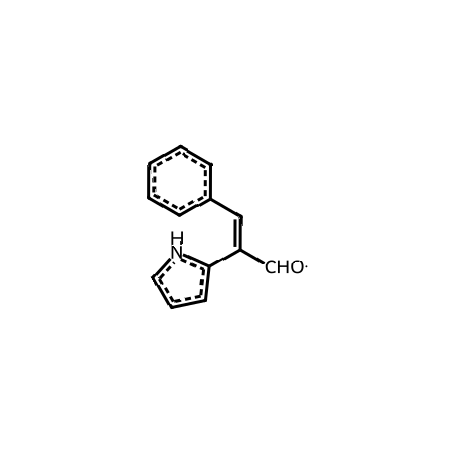 O=[C]C(=Cc1ccccc1)c1ccc[nH]1